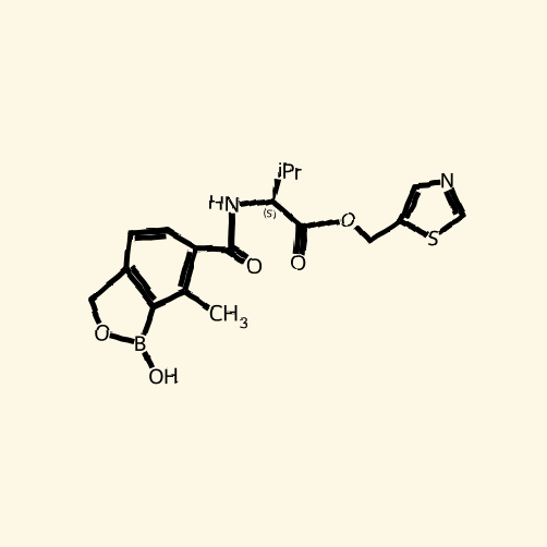 Cc1c(C(=O)N[C@H](C(=O)OCc2cncs2)C(C)C)ccc2c1B(O)OC2